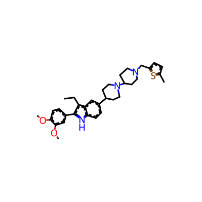 CCc1c(-c2ccc(OC)c(OC)c2)[nH]c2ccc(C3CCN(C4CCN(Cc5ccc(C)s5)CC4)CC3)cc12